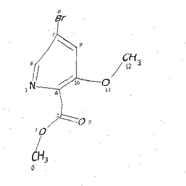 COC(=O)c1ncc(Br)cc1OC